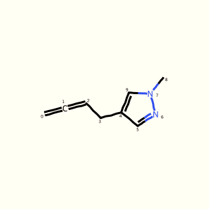 C=C=CCc1cnn(C)c1